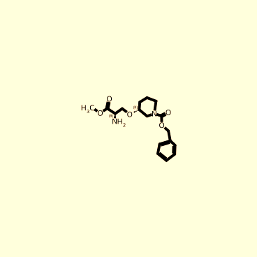 COC(=O)[C@H](N)CO[C@@H]1CCCN(C(=O)OCc2ccccc2)C1